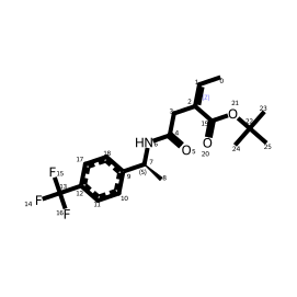 C/C=C(/CC(=O)N[C@@H](C)c1ccc(C(F)(F)F)cc1)C(=O)OC(C)(C)C